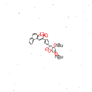 CCCCOc1cc(OCCCC)c2cc(-c3ccc(-c4cc5c(ccc6ccccc65)oc4=O)cc3)c(=O)oc2c1